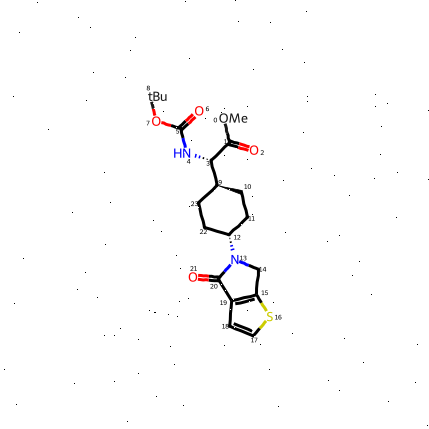 COC(=O)[C@@H](NC(=O)OC(C)(C)C)[C@H]1CC[C@H](N2Cc3sccc3C2=O)CC1